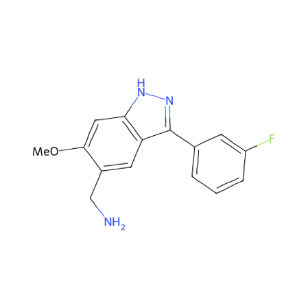 COc1cc2[nH]nc(-c3cccc(F)c3)c2cc1CN